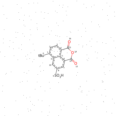 CC(C)(C)c1ccc2c3c(cc(S(=O)(=O)O)cc13)C(=O)OC2=O